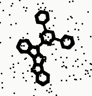 c1ccc(-c2cc(-c3ccccc3)nc(-n3c4ccccc4c4c5sc6ccccc6c5oc43)n2)cc1